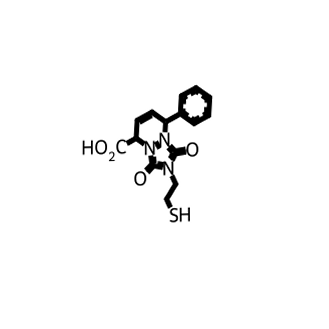 O=C(O)C1C=CC(c2ccccc2)n2c(=O)n(CCS)c(=O)n21